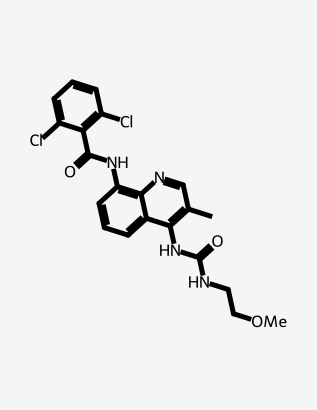 COCCNC(=O)Nc1c(C)cnc2c(NC(=O)c3c(Cl)cccc3Cl)cccc12